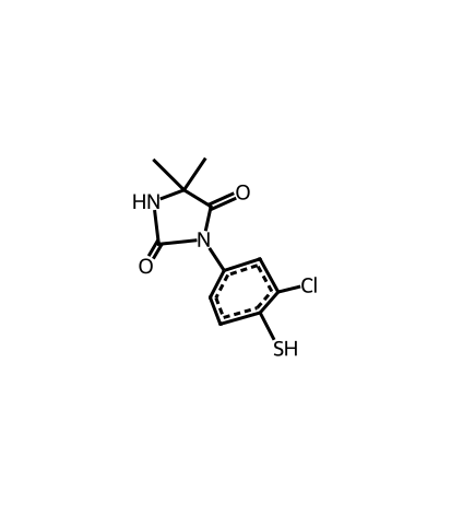 CC1(C)NC(=O)N(c2ccc(S)c(Cl)c2)C1=O